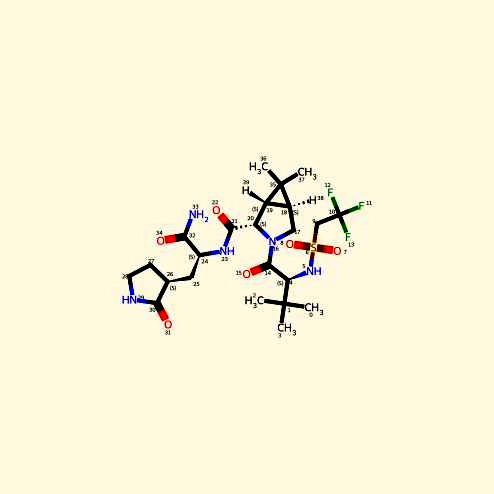 CC(C)(C)[C@H](NS(=O)(=O)CC(F)(F)F)C(=O)N1C[C@H]2[C@H]([C@H]1C(=O)N[C@@H](C[C@@H]1CCNC1=O)C(N)=O)C2(C)C